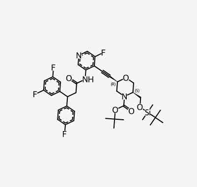 CC(C)(C)OC(=O)N1C[C@@H](C#Cc2c(F)cncc2NC(=O)CC(c2ccc(F)cc2)c2cc(F)cc(F)c2)OC[C@H]1CO[Si](C)(C)C(C)(C)C